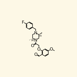 COc1ccc(C=O)c(OCC(=O)N2C[C@H](C)N(Cc3ccc(F)cc3)C[C@H]2C)c1